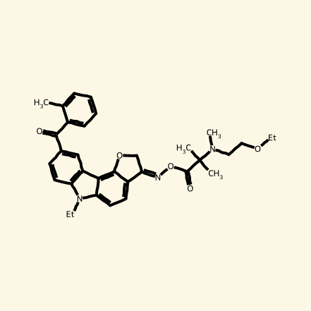 CCOCCN(C)C(C)(C)C(=O)O/N=C1\COc2c1ccc1c2c2cc(C(=O)c3ccccc3C)ccc2n1CC